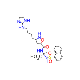 CC(NC(=O)C1CC(CCCCNc2ncc[nH]2)NO1)(NS(=O)(=O)c1cccc2ccccc12)C(=O)O